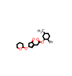 CC1CCC(C(C)C)C(OC(=O)CC2=C[C@H](OC3CCCCO3)CC2=O)C1